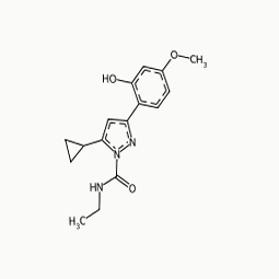 CCNC(=O)n1nc(-c2ccc(OC)cc2O)cc1C1CC1